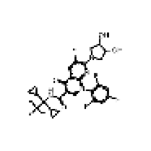 O=C(NC(C1CC1)(C1CC1)C(F)(F)F)c1cn(-c2c(F)cc(F)cc2F)c2nc(N3C[C@@H](O)[C@H](O)C3)c(F)cc2c1=O